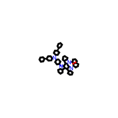 c1ccc(-c2ccc(N(c3ccc(-c4ccccc4)cc3)c3ccc(-n4c5ccccc5c5c6c7ccccc7n(-c7ccccc7)c6c6c(c7ccccc7n6-c6ccccc6)c54)cc3)cc2)cc1